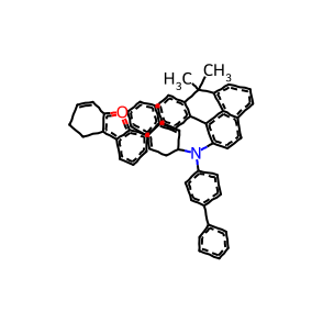 CC1(C)c2ccc(-c3cccc4c5c(oc34)C=CCC5)cc2-c2c(N(c3ccc(-c4ccccc4)cc3)C3C=c4ccccc4=CC3)ccc3cccc1c23